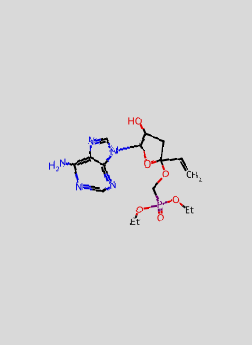 C=CC1(OCP(=O)(OCC)OCC)CC(O)C(n2cnc3c(N)ncnc32)O1